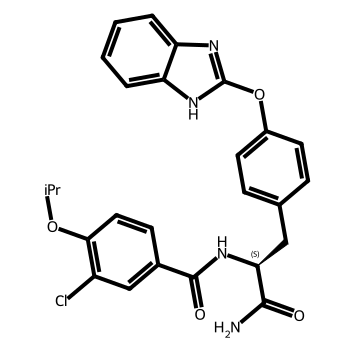 CC(C)Oc1ccc(C(=O)N[C@@H](Cc2ccc(Oc3nc4ccccc4[nH]3)cc2)C(N)=O)cc1Cl